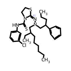 CCCCCCC(CC)CN(CC(CCC)c1ccccc1)/N=C1/SCCN1C(=S)Nc1cccc(Cl)c1